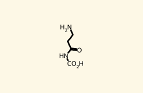 NCCC(=O)NC(=O)O